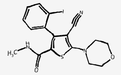 CNC(=O)c1sc(N2CCOCC2)c(C#N)c1-c1ccccc1I